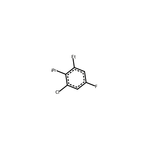 CCc1cc(F)cc(Cl)c1C(C)C